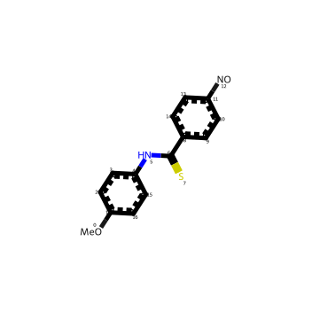 COc1ccc(NC(=S)c2ccc(N=O)cc2)cc1